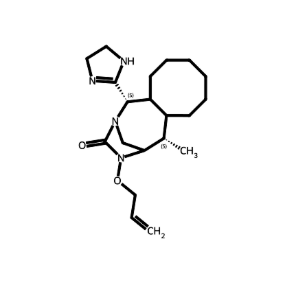 C=CCON1C(=O)N2CC1[C@@H](C)C1CCCCCCC1[C@H]2C1=NCCN1